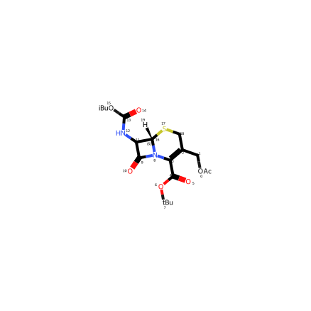 CC(=O)OCC1=C(C(=O)OC(C)(C)C)N2C(=O)C(NC(=O)OCC(C)C)[C@@H]2SC1